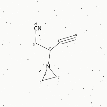 C#CC(CC#N)N1CC1